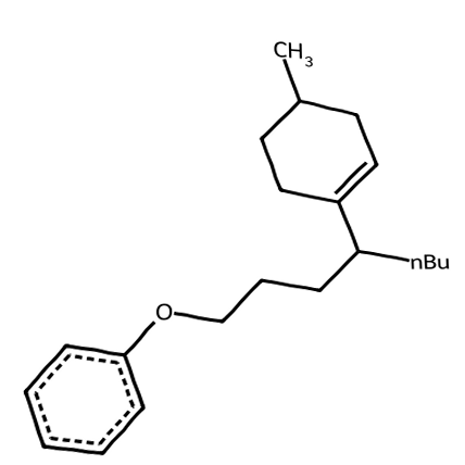 CCCCC(CCCOc1ccccc1)C1=CCC(C)CC1